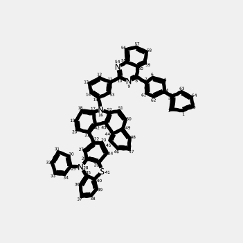 c1ccc(-c2ccc(-c3nc(-c4cccc(-n5c6cccc(-c7ccc8c(c7)N(c7ccccc7)c7ccccc7S8)c6c6c7ccccc7ccc65)c4)nc4ccccc34)cc2)cc1